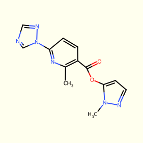 Cc1nc(-n2cncn2)ccc1C(=O)Oc1ccnn1C